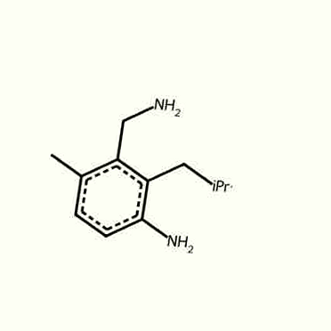 C[C](C)Cc1c(N)ccc(C)c1CN